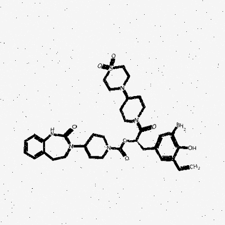 Bc1cc(C[C@@H](OC(=O)N2CCC(N3CCc4ccccc4NC3=O)CC2)C(=O)N2CCC(N3CCS(=O)(=O)CC3)CC2)cc(C=C)c1O